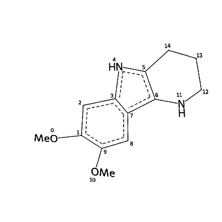 COc1cc2[nH]c3c(c2cc1OC)NCCC3